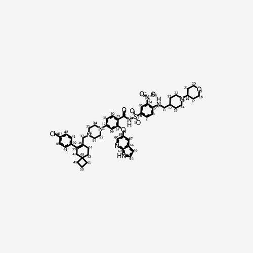 O=C(NS(=O)(=O)c1ccc(NCC2CCN(C3CCOCC3)CC2)c([N+](=O)[O-])c1)c1ccc(N2CCN(CC3=C(c4ccc(Cl)cc4)CC4(CCC4)CC3)CC2)cc1Oc1cnc2[nH]ccc2c1